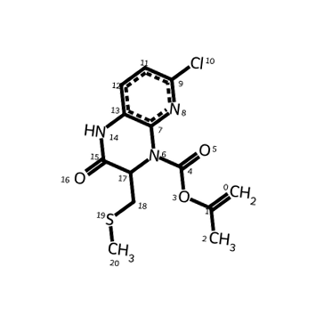 C=C(C)OC(=O)N1c2nc(Cl)ccc2NC(=O)C1CSC